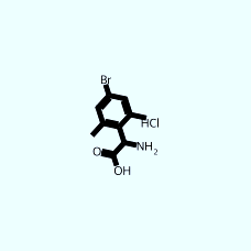 Cc1cc(Br)cc(C)c1C(N)C(=O)O.Cl